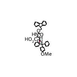 COc1ccc(C(NC(=O)C[C@H](NC(=O)OCC2c3ccccc3-c3ccccc32)C(=O)O)(c2ccccc2)c2ccccc2)cc1